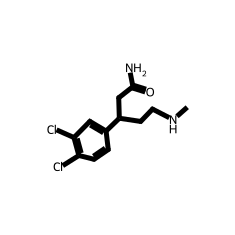 CNCCC(CC(N)=O)c1ccc(Cl)c(Cl)c1